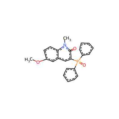 COc1ccc2c(c1)cc(P(=O)(c1ccccc1)c1ccccc1)c(=O)n2C